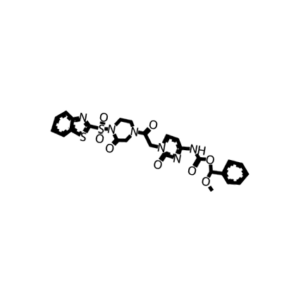 COC(OC(=O)Nc1ccn(CC(=O)N2CCN(S(=O)(=O)c3nc4ccccc4s3)C(=O)C2)c(=O)n1)c1ccccc1